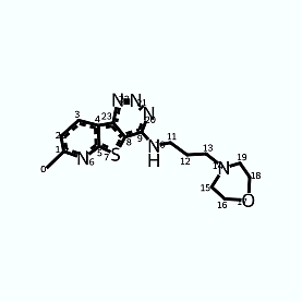 Cc1ccc2c(n1)sc1c(NCCCN3CCOCC3)nnnc12